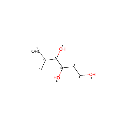 CC(C=O)C(O)C(O)CCO